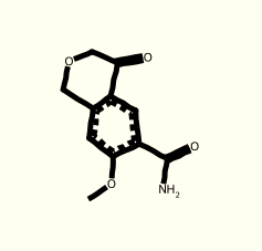 COc1cc2c(cc1C(N)=O)C(=O)COC2